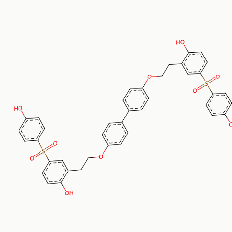 O=S(=O)(c1ccc(O)cc1)c1ccc(O)c(CCOc2ccc(-c3ccc(OCCc4cc(S(=O)(=O)c5ccc(O)cc5)ccc4O)cc3)cc2)c1